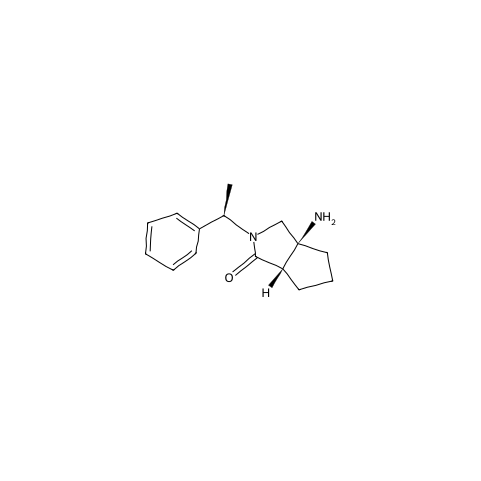 C[C@H](c1ccccc1)N1C[C@]2(N)CCC[C@@H]2C1=O